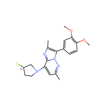 COc1ccc(-c2c(C)nc3c(N4CC[C@@H](F)C4)cc(C)nn23)cc1OC